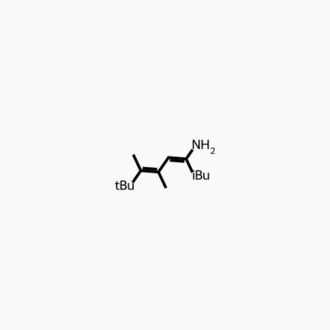 CCC(C)/C(N)=C\C(C)=C(/C)C(C)(C)C